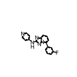 Fc1cccc(-c2cccc3nc(Nc4ccncc4)nn23)c1